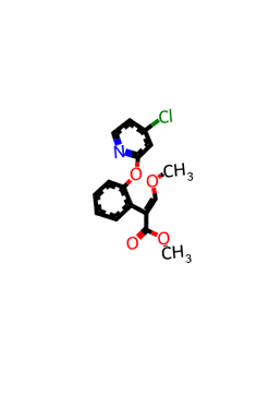 CO/C=C(/C(=O)OC)c1ccccc1Oc1cc(Cl)ccn1